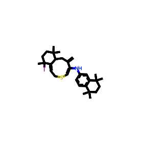 C=C1CC2/C(=C\CS/C=C\1Nc1ccc3c(c1)C(C)(C)CCC3(C)C)C(C)(I)CCC2(C)C